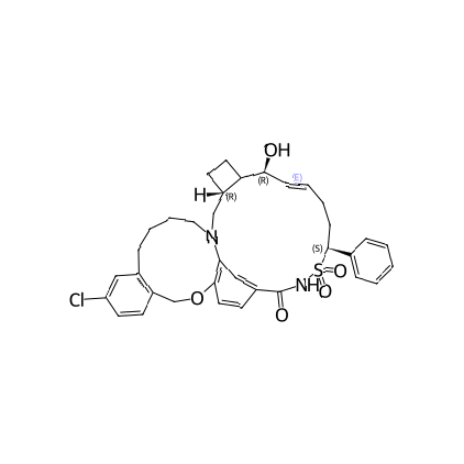 O=C1NS(=O)(=O)[C@H](c2ccccc2)CC/C=C/[C@H](O)C2CC[C@H]2CN2CCCCc3cc(Cl)ccc3COc3ccc1cc32